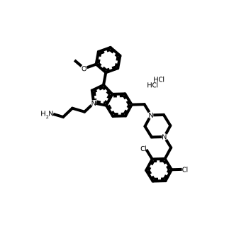 COc1ccccc1-c1cn(CCCN)c2ccc(CN3CCN(Cc4c(Cl)cccc4Cl)CC3)cc12.Cl.Cl